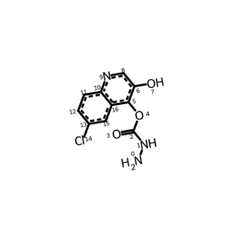 NNC(=O)Oc1c(O)cnc2ccc(Cl)cc12